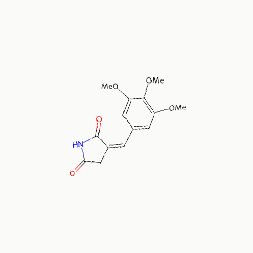 COc1cc(C=C2CC(=O)NC2=O)cc(OC)c1OC